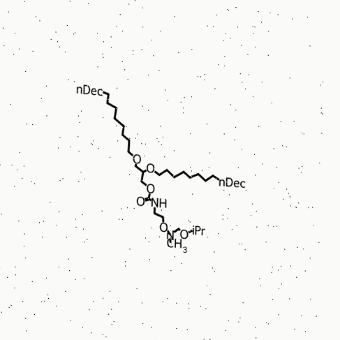 CCCCCCCCCCCCCCCCCCOCC(COC(=O)NCCON(C)COC(C)C)OCCCCCCCCCCCCCCCCCC